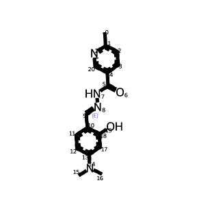 Cc1ccc(C(=O)N/N=C/c2ccc(N(C)C)cc2O)cn1